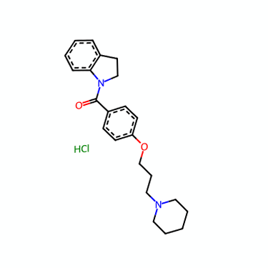 Cl.O=C(c1ccc(OCCCN2CCCCC2)cc1)N1CCc2ccccc21